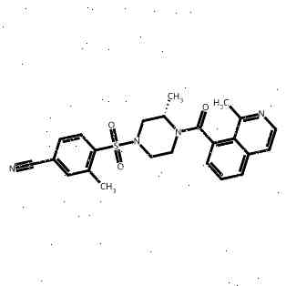 Cc1cc(C#N)ccc1S(=O)(=O)N1CCN(C(=O)c2cccc3ccnc(C)c23)[C@@H](C)C1